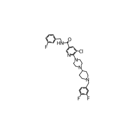 O=C(NCc1cccc(F)c1)c1cnc(N2CCN(C3CCN(Cc4ccc(F)c(F)c4)CC3)CC2)c(Cl)c1